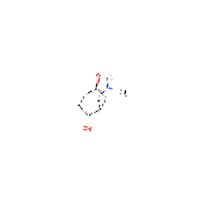 CN(C)C1C2CC(O)C1CC2=O